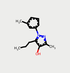 CCCc1c(O)c(C)nn1-c1cccc(C)c1